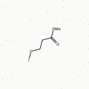 COC(=O)CCOI